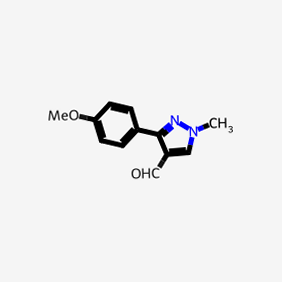 COc1ccc(-c2nn(C)cc2C=O)cc1